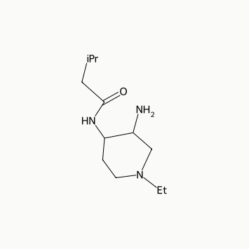 CCN1CCC(NC(=O)CC(C)C)C(N)C1